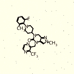 Cc1cccc(F)c1N1CCC(N2Cc3nn(C)cc3N(Cc3nccnc3C(F)(F)F)C2=O)CC1